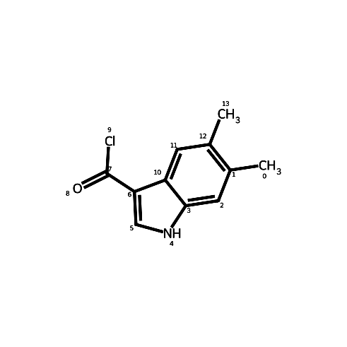 Cc1cc2[nH]cc(C(=O)Cl)c2cc1C